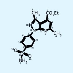 CCOC(=O)c1cc(C)nc2c1c(C)nn2-c1ccc(S(N)(=O)=O)cc1